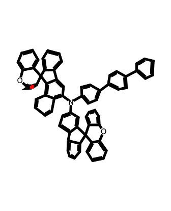 c1ccc(-c2ccc(-c3ccc(N(c4ccc5c(c4)C4(c6ccccc6Oc6ccccc64)c4ccccc4-5)c4cc5c(c6ccccc46)C4(c6ccccc6Oc6ccccc64)c4ccccc4-5)cc3)cc2)cc1